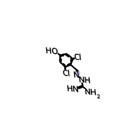 N=C(N)N/N=C/c1c(Cl)cc(O)cc1Cl